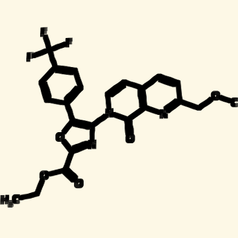 CCOC(=O)c1nc(-n2ccc3ccc(COC)nc3c2=O)c(-c2ccc(C(F)(F)F)cc2)o1